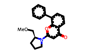 COC[C@@H]1CCCN1c1cc(=O)c2cccc(-c3ccccc3)c2o1